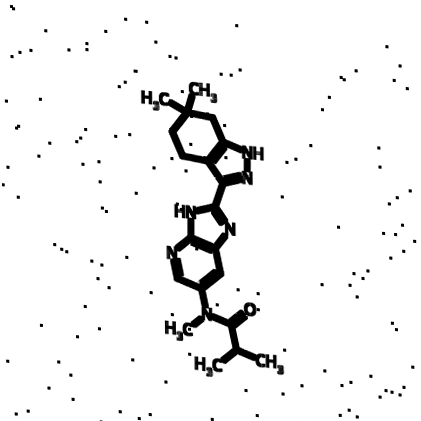 CC(C)C(=O)N(C)c1cnc2[nH]c(-c3n[nH]c4c3CCC(C)(C)C4)nc2c1